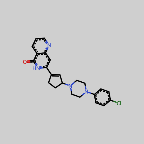 O=c1[nH]c(C2=CC(N3CCN(c4ccc(Cl)cc4)CC3)CC2)cc2ncccc12